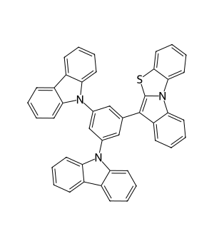 c1ccc2c(c1)sc1c(-c3cc(-n4c5ccccc5c5ccccc54)cc(-n4c5ccccc5c5ccccc54)c3)c3ccccc3n12